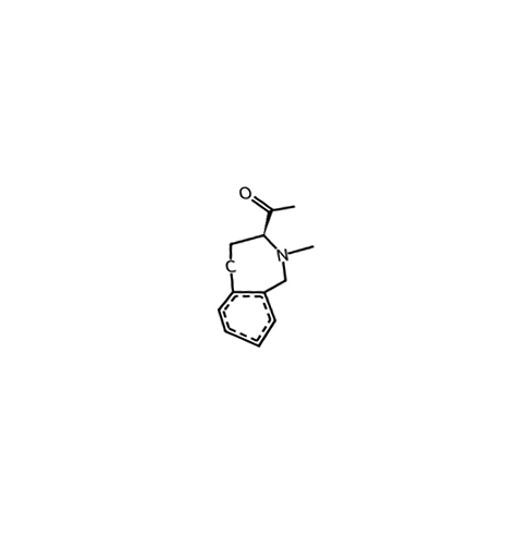 CC(=O)[C@@H]1CCc2ccccc2CN1C